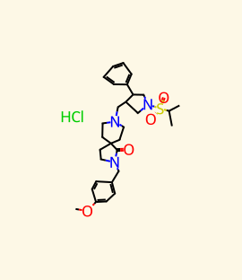 COc1ccc(CN2CCC3(CCN(CC4CN(S(=O)(=O)C(C)C)CC4c4ccccc4)CC3)C2=O)cc1.Cl